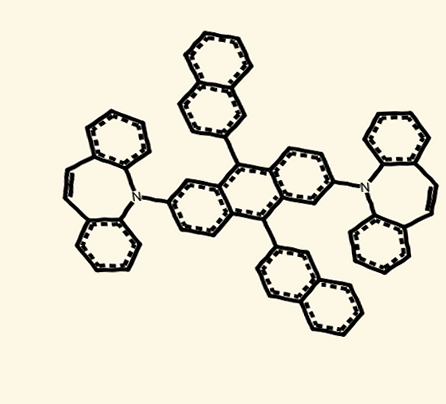 C1=Cc2ccccc2N(c2ccc3c(-c4ccc5ccccc5c4)c4cc(N5c6ccccc6C=Cc6ccccc65)ccc4c(-c4ccc5ccccc5c4)c3c2)c2ccccc21